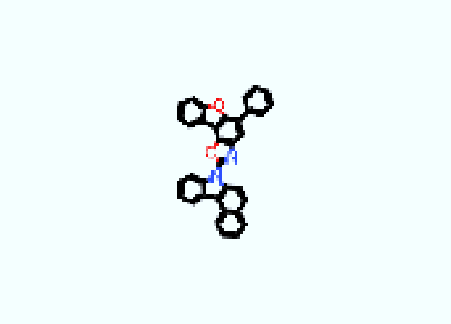 c1ccc(-c2cc3nc(-n4c5ccccc5c5c6ccccc6ccc54)oc3c3c2oc2ccccc23)cc1